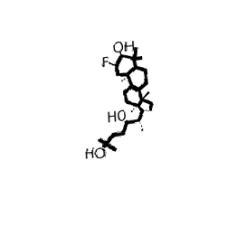 C[C@H](C(O)CCC(C)(C)O)[C@H]1CC[C@@]2(C)C3=C(CC[C@]12C)[C@@]1(C)C[C@@H](F)[C@H](O)C(C)(C)C1CC3